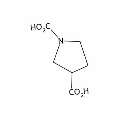 O=C(O)C1CCN(C(=O)O)C1